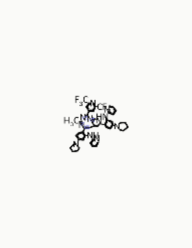 CC1=N/C(c2ccc(N3CCCCC3)cc2Nc2ccccn2)=C\C2=CC(c3ccc(N4CCCCC4)cc3Nc3ccccn3)=N\C(=N/C(c3cc(C(F)(F)F)nc(C(F)(F)F)c3)=N\1)C2